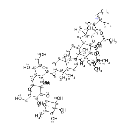 C/C=C(\C)C(=O)OC1C(OC(C)=O)C2(C(=O)O)C(CC1(C)C)C1=CCC3C4(C)CCC(OC5OC(CO)C(O)C(OC6OC(CO)C(O)C(OC7OC(C)C(O)C(O)C7O)C6O)C5O)C(C)(C)C4CCC3(C)C1(C)C(OC(C)=O)C2OC(C)=O